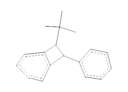 CC(C)(C)C1c2ccncc2C1c1ccccc1